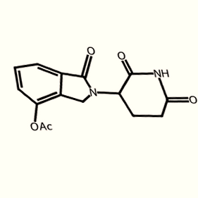 CC(=O)Oc1cccc2c1CN(C1CCC(=O)NC1=O)C2=O